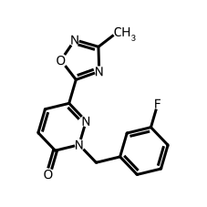 Cc1noc(-c2ccc(=O)n(Cc3cccc(F)c3)n2)n1